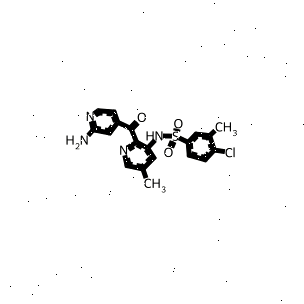 Cc1cnc(C(=O)c2ccnc(N)c2)c(NS(=O)(=O)c2ccc(Cl)c(C)c2)c1